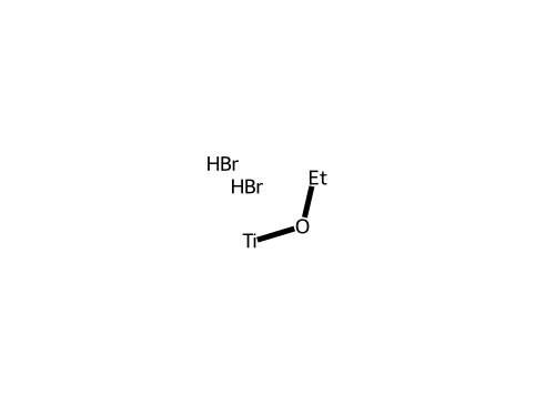 Br.Br.CC[O][Ti]